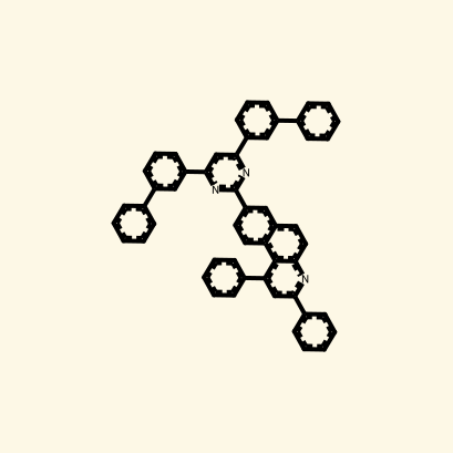 c1ccc(-c2cccc(-c3cc(-c4cccc(-c5ccccc5)c4)nc(-c4ccc5c(ccc6nc(-c7ccccc7)cc(-c7ccccc7)c65)c4)n3)c2)cc1